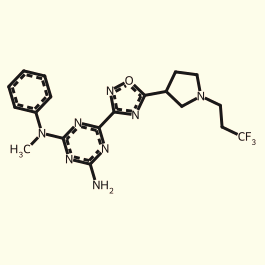 CN(c1ccccc1)c1nc(N)nc(-c2noc(C3CCN(CCC(F)(F)F)C3)n2)n1